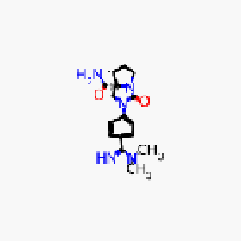 CN(C)C(=N)c1ccc(N2C[C@@]3(C(N)=O)[CH]CCN3C2=O)cc1